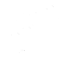 CSCCN(C)C(=O)Nc1sc(-c2cccnc2)nc1C